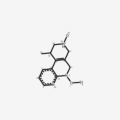 CCON1CC2=C(c3cccnc31)C(C)C[NH+]([O-])C2